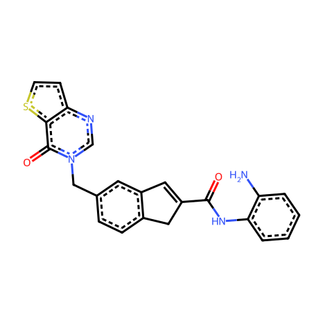 Nc1ccccc1NC(=O)C1=Cc2cc(Cn3cnc4ccsc4c3=O)ccc2C1